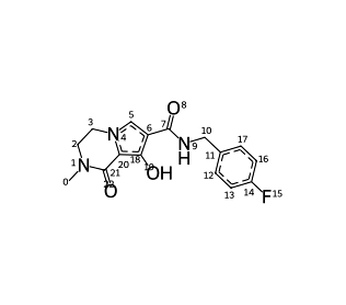 CN1CCn2cc(C(=O)NCc3ccc(F)cc3)c(O)c2C1=O